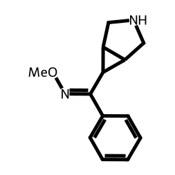 CON=C(c1ccccc1)C1C2CNCC21